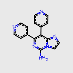 Nc1nc(-c2ccncc2)c(-c2ccncc2)c2nccn12